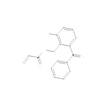 C=CC(=O)OCc1c(F)cccc1C(=O)c1ccccc1